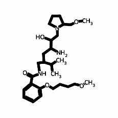 COCCCCOc1ccccc1C(=O)NCC(CC(N)C(O)CN1CCCC1COC)C(C)C